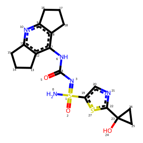 NS(=O)(=NC(=O)Nc1c2c(nc3c1CCC3)CCC2)c1cnc(C2(O)CC2)s1